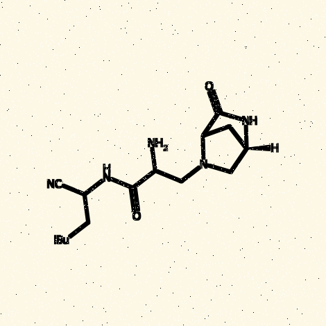 CCC(C)CC(C#N)NC(=O)C(N)CN1C[C@@H]2CC1C(=O)N2